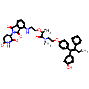 CC/C(=C(\c1ccc(O)cc1)c1ccc(OCCN(C)C(=O)C(C)OCCNc2cccc3c2C(=O)N(C2CCC(=O)NC2=O)C3=O)cc1)c1ccccc1